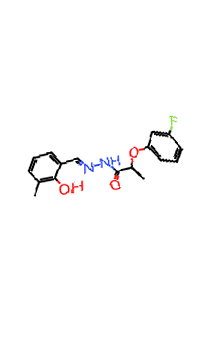 Cc1cccc(C=NNC(=O)C(C)Oc2cccc(F)c2)c1O